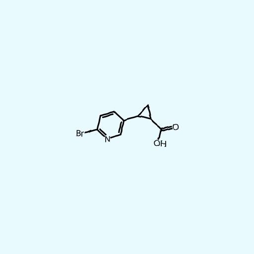 O=C(O)C1CC1c1ccc(Br)nc1